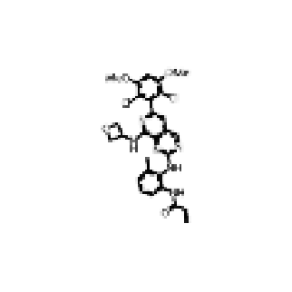 C=CC(=O)Nc1cccc(C)c1Nc1ncc2cc(-c3c(Cl)c(OC)cc(OC)c3Cl)nc(NC3COC3)c2n1